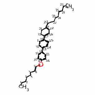 CCCCCCCCOc1ccc(-c2ccc(C3=CCC(CCCCCCCC)CC3)cc2)cc1